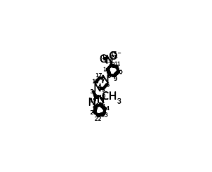 Cn1c(CN2CCN(c3cccc([N+](=O)[O-])c3)CC2)nc2ccccc21